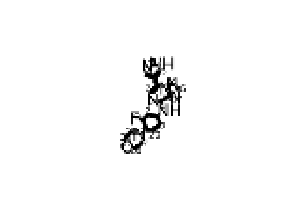 Fc1cc(Nc2ncc(-c3cn[nH]c3)n3ncnc23)ccc1N1CCOCC1